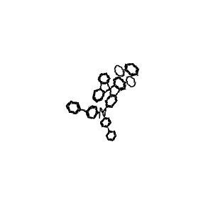 c1ccc(-c2ccc(N(c3ccc(-c4ccccc4)cc3)c3ccc4c(c3)C3(c5ccccc5-c5ccccc53)c3cc5c(cc3-4)Oc3ccccc3O5)cc2)cc1